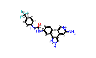 Nc1cc(-c2c[nH]nc2-c2cccc(NC(=O)Nc3ccc(C(F)(F)F)cc3)c2)ccn1